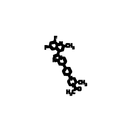 CC(=O)N1CCN(c2ccc(-c3ccn4c(-c5cc(C)nc6c(F)cc(F)cc56)cnc4c3)cc2)C[C@@H]1C